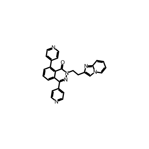 O=c1c2c(-c3ccncc3)cccc2c(-c2ccncc2)nn1CCc1cn2ccccc2n1